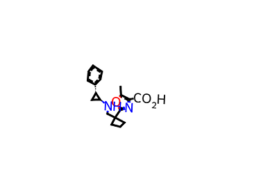 Cc1oc(C2(CN[C@H]3C[C@@H]3c3ccccc3)CCC2)nc1C(=O)O